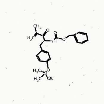 C=C(C)C(=O)[C@H](Cc1ccc(O[Si](C)(C)C(C)(C)C)cc1)NC(=O)OCc1ccccc1